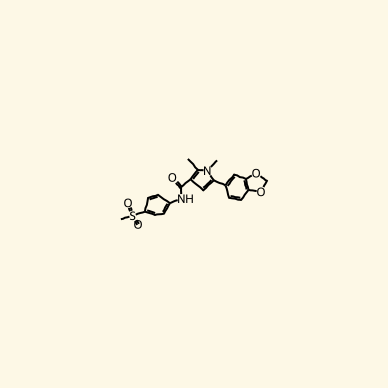 Cc1c(C(=O)Nc2ccc(S(C)(=O)=O)cc2)cc(-c2ccc3c(c2)OCO3)n1C